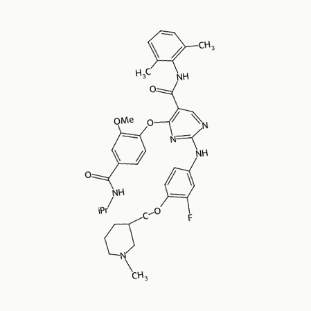 COc1cc(C(=O)NC(C)C)ccc1Oc1nc(Nc2ccc(OCC3CCCN(C)C3)c(F)c2)ncc1C(=O)Nc1c(C)cccc1C